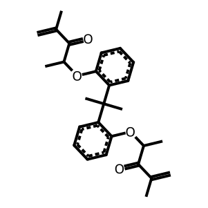 C=C(C)C(=O)C(C)Oc1ccccc1C(C)(C)c1ccccc1OC(C)C(=O)C(=C)C